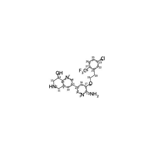 Nc1ncc(-c2cnc3c(c2)CNCC3O)cc1OCCc1cc(Cl)ccc1C(F)(F)F